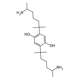 CC(N)CCCC(C)(C)c1cc(O)c(C(C)(C)CCCC(C)N)cc1O